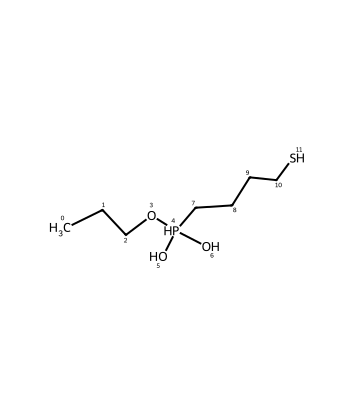 CCCO[PH](O)(O)CCCCS